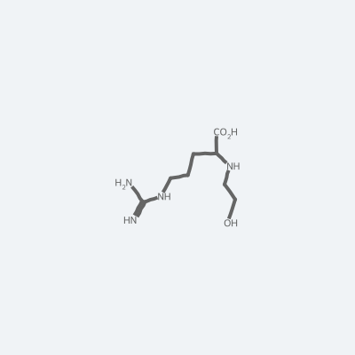 N=C(N)NCCCC(NCCO)C(=O)O